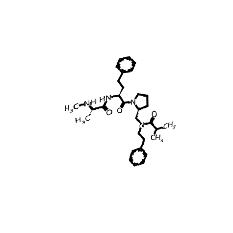 CN[C@@H](C)C(=O)N[C@@H](CCc1ccccc1)C(=O)N1CCC[C@H]1CN(CCc1ccccc1)C(=O)C(C)C